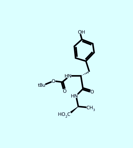 C[C@H](NC(=O)[C@@H](Cc1ccc(O)cc1)NC(=O)OC(C)(C)C)C(=O)O